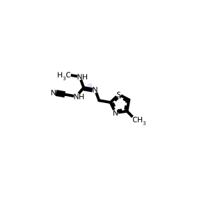 CN/C(=N/Cc1nc(C)cs1)NC#N